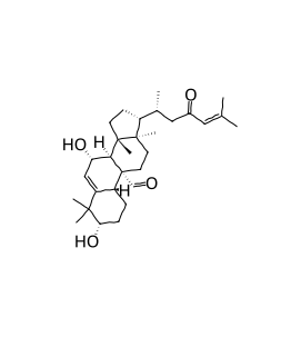 CC(C)=CC(=O)C[C@@H](C)[C@H]1CC[C@@]2(C)[C@@H]3[C@@H](O)C=C4[C@@H](CC[C@H](O)C4(C)C)[C@]3(C=O)CC[C@]12C